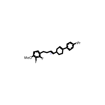 CCCc1ccc(C2=CCC(/C=C/CCc3ccc(OC)c(F)c3F)CC2)cc1